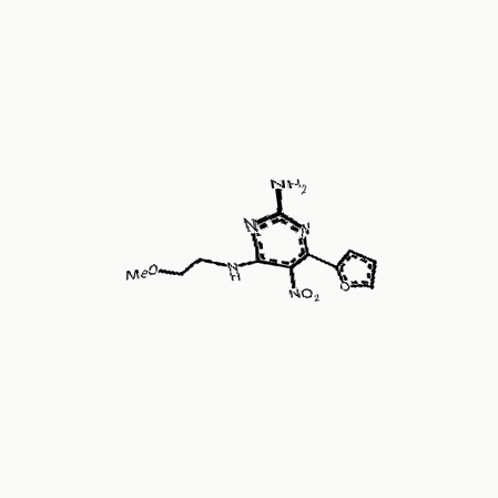 COCCNc1nc(N)nc(-c2ccco2)c1[N+](=O)[O-]